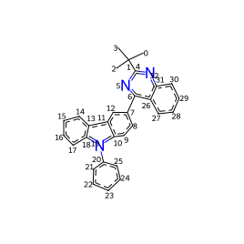 CC(C)(C)c1nc(-c2ccc3c(c2)c2ccccc2n3-c2ccccc2)c2ccccc2n1